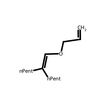 C=CCOC=C(CCCCC)CCCCC